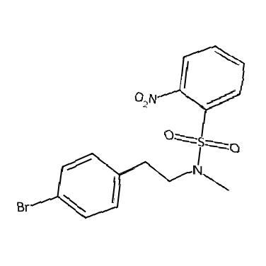 CN(CCc1ccc(Br)cc1)S(=O)(=O)c1ccccc1[N+](=O)[O-]